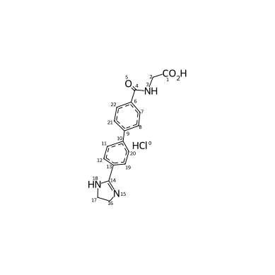 Cl.O=C(O)CNC(=O)c1ccc(-c2ccc(C3=NCCN3)cc2)cc1